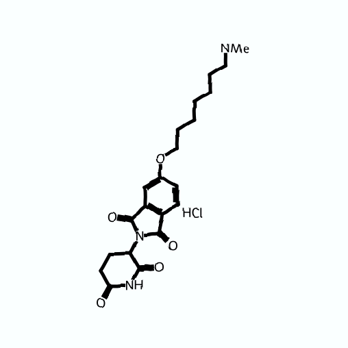 CNCCCCCCCOc1ccc2c(c1)C(=O)N(C1CCC(=O)NC1=O)C2=O.Cl